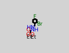 CCOC(OCC)C(=O)NNCc1ccc(F)cc1Br